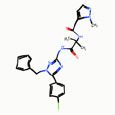 Cn1nccc1C(=O)NC(C)(C)C(=O)Nc1nc(-c2ccc(F)cc2)n(Cc2ccccc2)n1